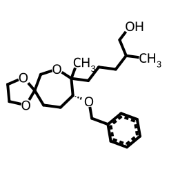 CC(CO)CCCC1(C)OCC2(CC[C@H]1OCc1ccccc1)OCCO2